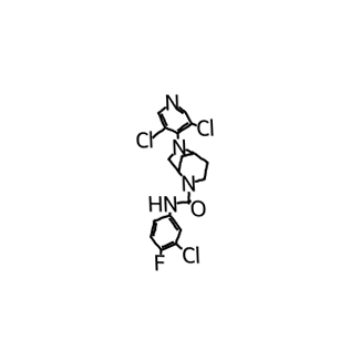 O=C(Nc1ccc(F)c(Cl)c1)N1CCC2CC1CN2c1c(Cl)cncc1Cl